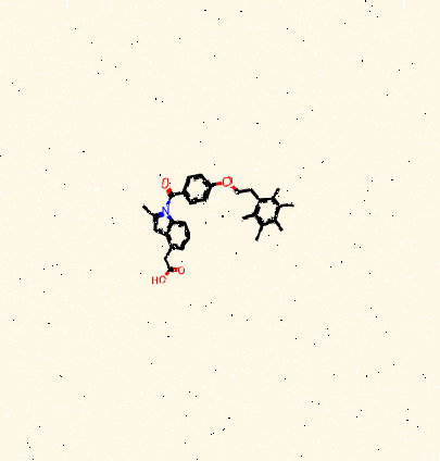 Cc1c(C)c(C)c(CCOc2ccc(C(=O)n3c(C)cc4c(CC(=O)O)cccc43)cc2)c(C)c1C